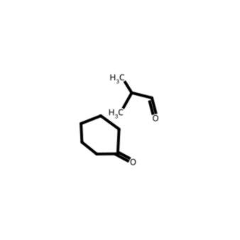 CC(C)C=O.O=C1CCCCC1